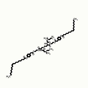 CCCCCCCC/C=C\CCCCCCCC(=O)Oc1ccc(CC(=O)OCCOC(=O)C(CSSCC(NC(=O)CN(C)CCC)C(=O)OCCOC(=O)Cc2ccc(OC(=O)CCCCCCC/C=C\CCCCCCCC)cc2)NC(=O)CN(C)CCC)cc1